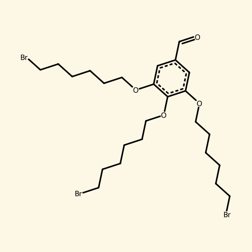 O=Cc1cc(OCCCCCCBr)c(OCCCCCCBr)c(OCCCCCCBr)c1